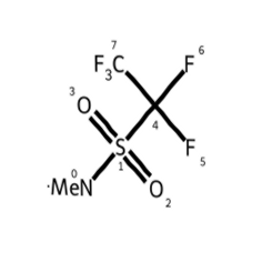 C[N]S(=O)(=O)C(F)(F)C(F)(F)F